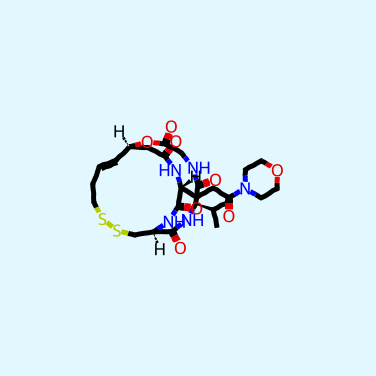 CC(C)[C@H]1NC(=O)[C@H]2CSSCC/C=C/[C@H](CC(=O)N[C@H](CCC(=O)N3CCOCC3)C(=O)N2)OC(=O)CNC1=O